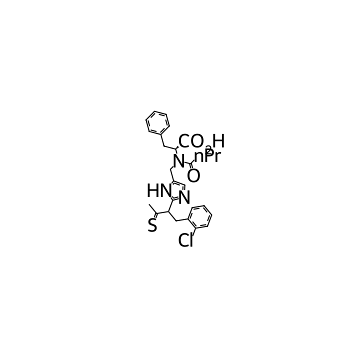 CCCC(=O)N(Cc1cnc(C(Cc2ccccc2Cl)C(C)=S)[nH]1)[C@@H](Cc1ccccc1)C(=O)O